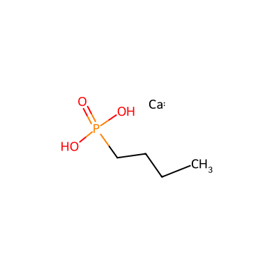 CCCCP(=O)(O)O.[Ca]